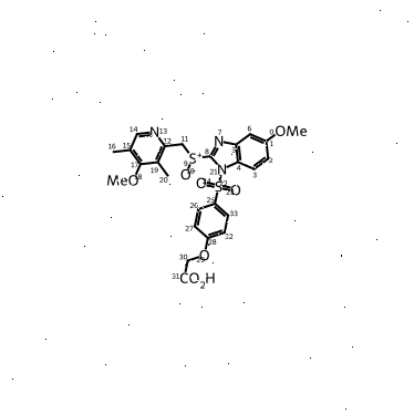 COc1ccc2c(c1)nc([S+]([O-])Cc1ncc(C)c(OC)c1C)n2S(=O)(=O)c1ccc(OCC(=O)O)cc1